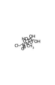 CN(C(=O)N(CCCl)N=O)[C@@H]1O[C@H](CO)[C@@H](O)[C@H]1O